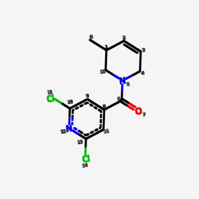 CC1C=CCN(C(=O)c2cc(Cl)nc(Cl)c2)C1